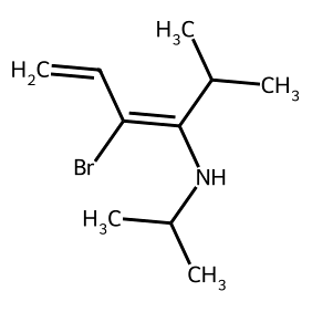 C=C/C(Br)=C(/NC(C)C)C(C)C